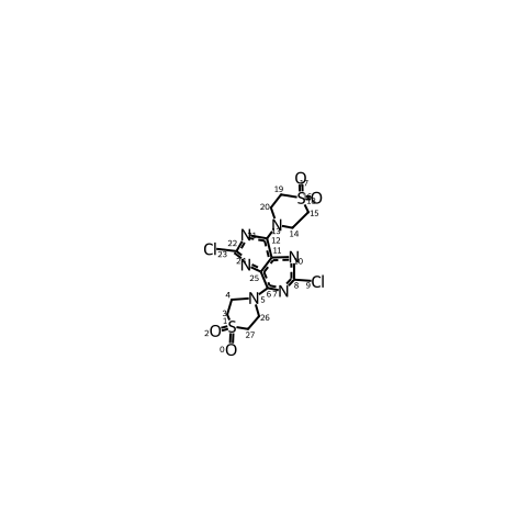 O=S1(=O)CCN(c2nc(Cl)nc3c(N4CCS(=O)(=O)CC4)nc(Cl)nc23)CC1